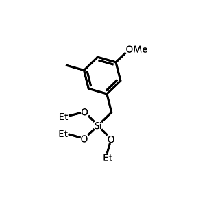 CCO[Si](Cc1cc(C)cc(OC)c1)(OCC)OCC